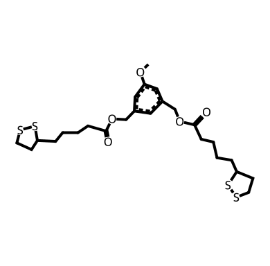 COc1cc(COC(=O)CCCCC2CCSS2)cc(COC(=O)CCCCC2CCSS2)c1